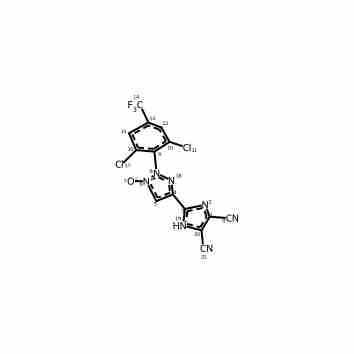 N#Cc1nc(-c2c[n+]([O-])n(-c3c(Cl)cc(C(F)(F)F)cc3Cl)n2)[nH]c1C#N